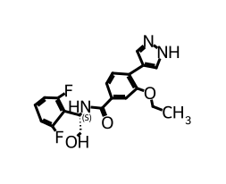 CCOc1cc(C(=O)N[C@H](CO)c2c(F)cccc2F)ccc1-c1cn[nH]c1